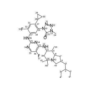 CCC(CC)CC1CC2C(C)C(Nc3nc(Nc4cc(-n5nnn(C)c5=O)c(C5CC5)cc4F)ncc3F)CC(C)(C)N2C1